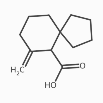 C=C1CCCC2(CCCC2)C1C(=O)O